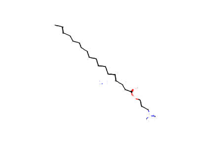 CCCCCCCCCCCCCCCCCC(=O)OCCCN(C)C.N